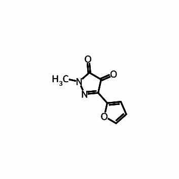 CN1N=C(c2ccco2)C(=O)C1=O